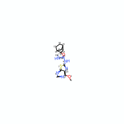 COc1ncnc2sc(NN3NC[C@]4(CC5CCC4CC5)O3)nc12